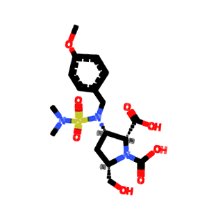 COc1ccc(CN([C@H]2C[C@@H](CO)N(C(=O)O)[C@H]2C(=O)O)S(=O)(=O)N(C)C)cc1